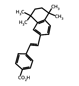 CC1(C)CCC(C)(C)c2cc(C=Cc3ccc(C(=O)O)cc3)ccc21